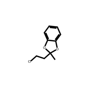 CC1(CCCl)Oc2ccccc2O1